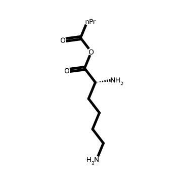 CCCC(=O)OC(=O)[C@H](N)CCCCN